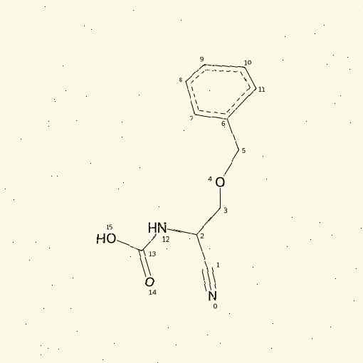 N#CC(COCc1ccccc1)NC(=O)O